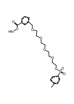 CCCCOC(=O)c1cccc(COCCOCCOCCOCCOS(=O)(=O)c2ccc(C)cc2)c1